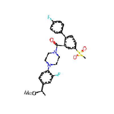 COC(C)c1ccc(N2CCN(C(=O)c3cc(S(C)(=O)=O)ccc3-c3ccc(F)cc3)CC2)c(F)c1